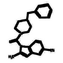 Cc1cc2cc(C#N)ccc2n1C(=O)N1CCC(Cc2ccccc2)CC1